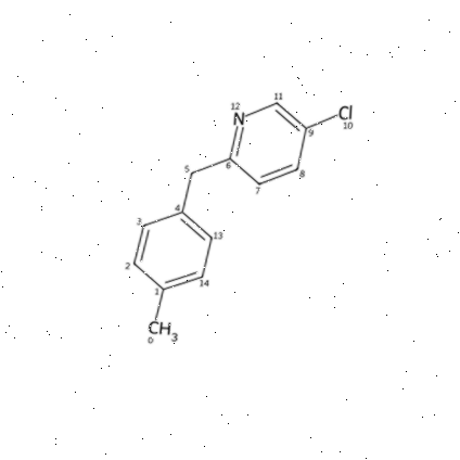 Cc1ccc(Cc2ccc(Cl)cn2)cc1